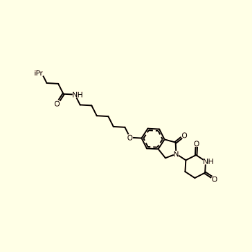 CC(C)CCC(=O)NCCCCCCOc1ccc2c(c1)CN(C1CCC(=O)NC1=O)C2=O